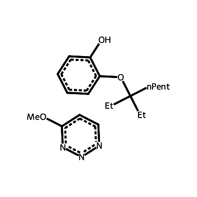 CCCCCC(CC)(CC)Oc1ccccc1O.COc1ccnnn1